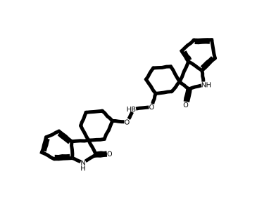 O=C1Nc2ccccc2C12CCCC(OBOC1CCCC3(C1)C(=O)Nc1ccccc13)C2